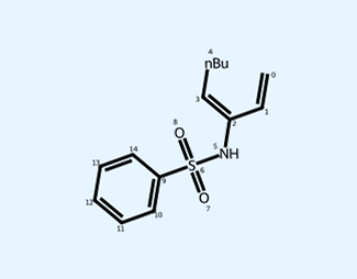 C=CC(=CCCCC)NS(=O)(=O)c1ccccc1